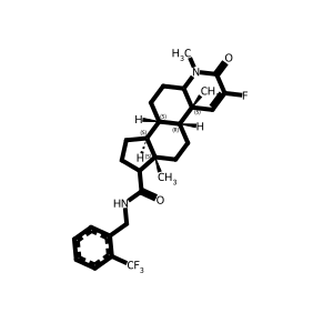 CN1C(=O)C(F)=C[C@@]2(C)C1CC[C@@H]1[C@H]2CC[C@]2(C)C(C(=O)NCc3ccccc3C(F)(F)F)CC[C@@H]12